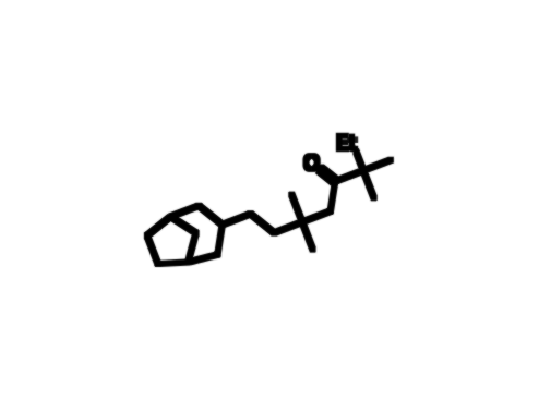 CCC(C)(C)C(=O)CC(C)(C)CCC1CC2CCC(C2)C1